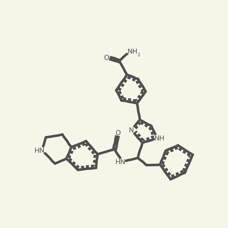 NC(=O)c1ccc(-c2c[nH]c(C(Cc3ccccc3)NC(=O)c3ccc4c(c3)CCNC4)n2)cc1